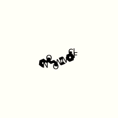 O=C(CCC(=O)N1CCN(c2ccc(F)c(Cl)c2)CC1)c1ccccn1